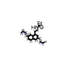 C/C=C\Sc1cc(CCNC(=O)CC)c2cc(S/C=C\C)ccc2c1